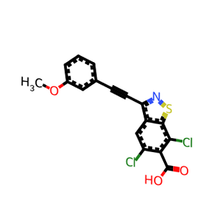 COc1cccc(C#Cc2nsc3c(Cl)c(C(=O)O)c(Cl)cc23)c1